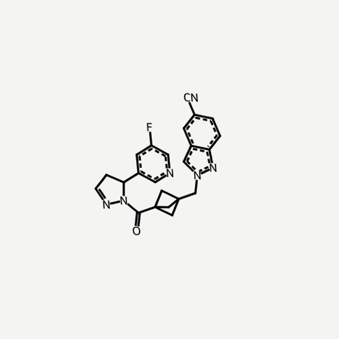 N#Cc1ccc2nn(CC34CC(C(=O)N5N=CCC5c5cncc(F)c5)(C3)C4)cc2c1